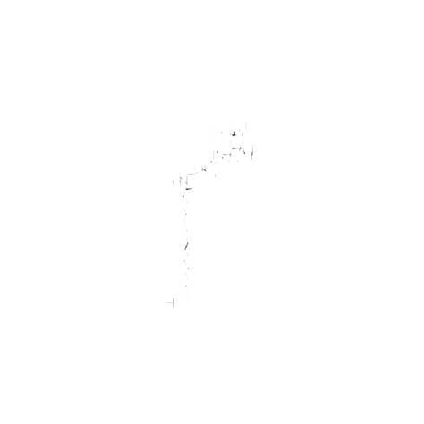 CCCCCCCCC=CCCCCCCCC(=O)N(C)CCOC(=O)CCNC(=O)C1OC(C)(C)OCC1(C)C